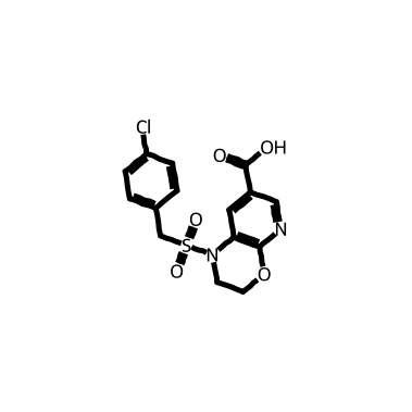 O=C(O)c1cnc2c(c1)N(S(=O)(=O)Cc1ccc(Cl)cc1)CCO2